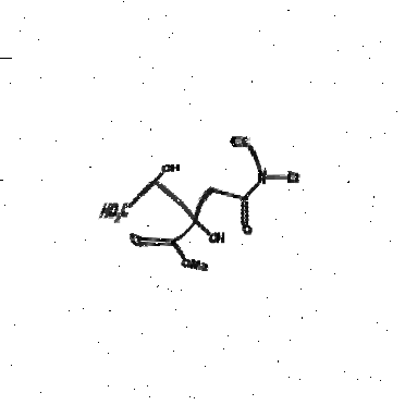 CCN(CC)C(=O)CC(O)(C(=O)OC)C(O)C(=O)O